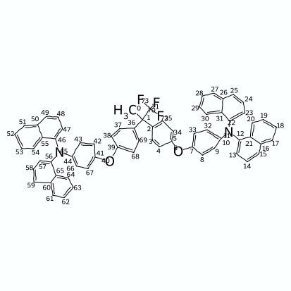 CC(c1ccc(Oc2ccc(N(c3cccc4ccccc34)c3cccc4ccccc34)cc2)cc1)(c1ccc(Oc2ccc(N(c3cccc4ccccc34)c3cccc4ccccc34)cc2)cc1)C(F)(F)F